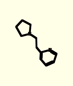 c1ccc(CCN2CCCC2)nc1